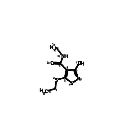 CCSc1snc(O)c1C(=O)NN